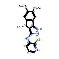 COc1cc2c(cc1OC)[C@@H](C)c1c-2n[nH]c1Nc1cccnc1Cl